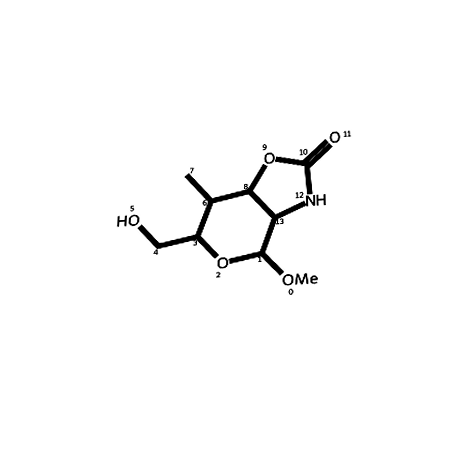 COC1OC(CO)C(C)C2OC(=O)NC12